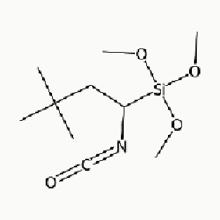 CO[Si](OC)(OC)C(CC(C)(C)C)N=C=O